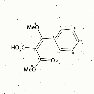 COC(=O)C(C(=O)O)=C(OC)c1ccccc1